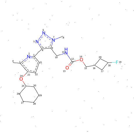 Cc1nc(-c2nnn(C)c2CNC(=O)OCC2CC(F)C2)ccc1OC1CCCCC1